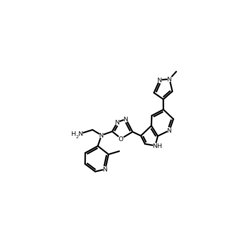 Cc1ncccc1N(CN)c1nnc(-c2c[nH]c3ncc(-c4cnn(C)c4)cc23)o1